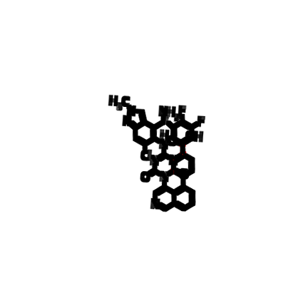 Cn1cc2c(CN)c(Nc3nc(=O)n(-c4cncc5cccc(-c6ccc(C(=O)O)cc6)c45)c(=O)n3Cc3cc(F)c(F)c(F)c3)c(Cl)cc2n1